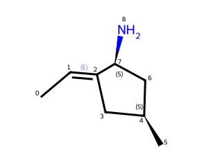 C/C=C1\C[C@H](C)C[C@@H]1N